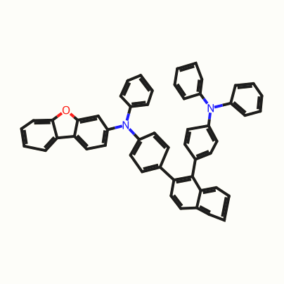 c1ccc(N(c2ccccc2)c2ccc(-c3c(-c4ccc(N(c5ccccc5)c5ccc6c(c5)oc5ccccc56)cc4)ccc4ccccc34)cc2)cc1